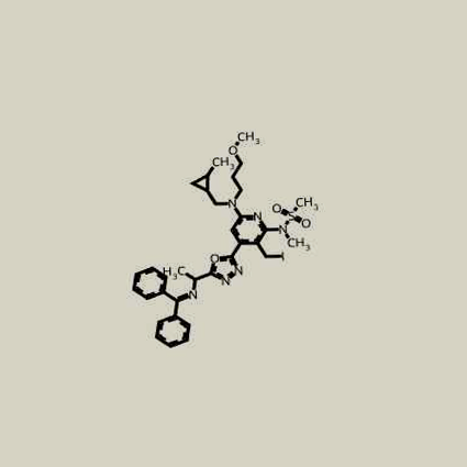 COCCCN(CC1CC1C)c1cc(-c2nnc(C(C)N=C(c3ccccc3)c3ccccc3)o2)c(CI)c(N(C)S(C)(=O)=O)n1